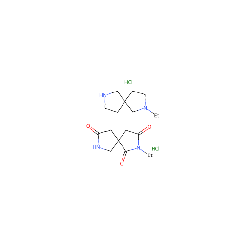 CCN1C(=O)CC2(CNC(=O)C2)C1=O.CCN1CCC2(CCNC2)C1.Cl.Cl